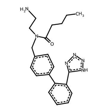 CCCCC(=O)N(CCN)Cc1ccc(-c2ccccc2-c2nnn[nH]2)cc1